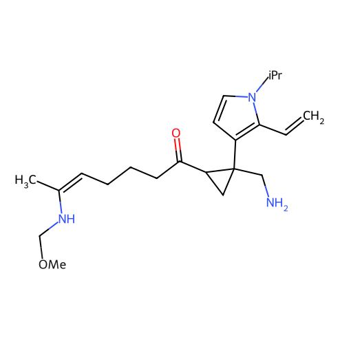 C=Cc1c(C2(CN)CC2C(=O)CCC/C=C(/C)NCOC)ccn1C(C)C